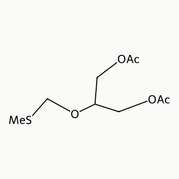 CSCOC(COC(C)=O)COC(C)=O